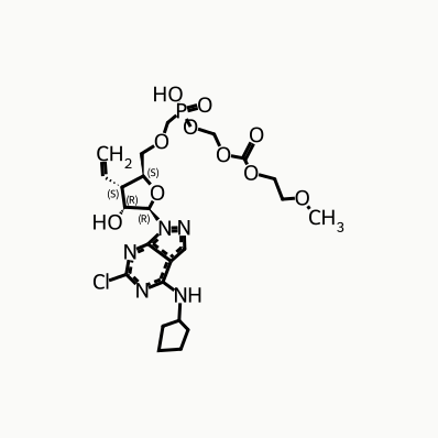 C=C[C@H]1[C@@H](O)[C@H](n2ncc3c(NC4CCCC4)nc(Cl)nc32)O[C@@H]1COCP(=O)(O)OCOC(=O)OCCOC